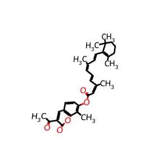 CC(=O)c1cc2ccc(OC(=O)C=C(C)C=CC=C(C)C=CC3=C(C)CCCC3(C)C)c(C)c2oc1=O